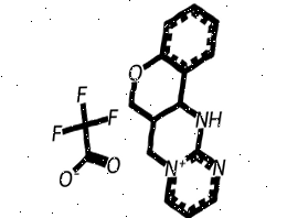 O=C([O-])C(F)(F)F.c1ccc2c(c1)OCC1C[n+]3cccnc3NC21